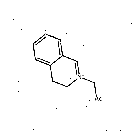 CC(=O)C[N+]1=Cc2ccccc2CC1